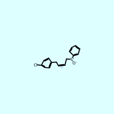 [O-][S+](C/[C]=C\Cc1ccc(Cl)cc1)c1ccccc1